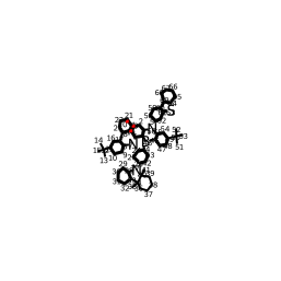 Cc1cc2c3c(c1)N(c1ccc(C(C)(C)C)cc1-c1ccccc1)c1cc(N4c5ccccc5C5(C)CCCCC45C)ccc1B3c1ccc(C(C)(C)C)cc1N2c1ccc2c(c1)sc1ccccc12